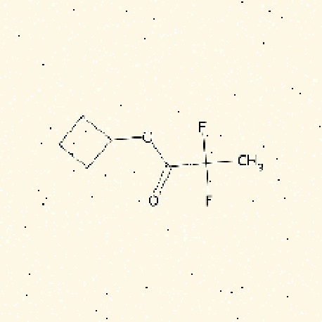 CC(F)(F)C(=O)OC1CCC1